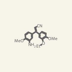 CCOc1cc(/C(=C\C#N)c2ccc(OC)c(N)c2)ccc1OC